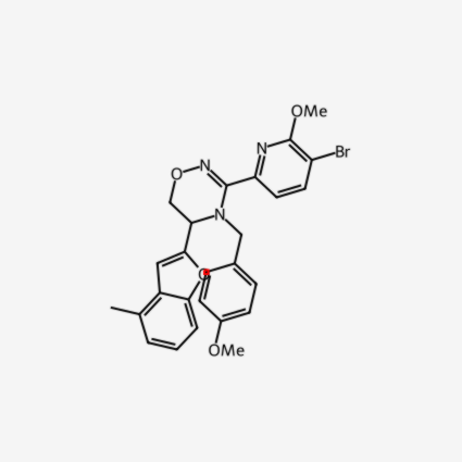 COc1ccc(CN2C(c3ccc(Br)c(OC)n3)=NOCC2c2cc3c(C)cccc3o2)cc1